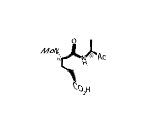 CN[C@@H](CCC(=O)O)C(=O)N[C@@H](C)C(C)=O